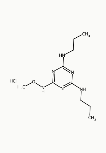 CCCNc1nc(NCCC)nc(NOC)n1.Cl